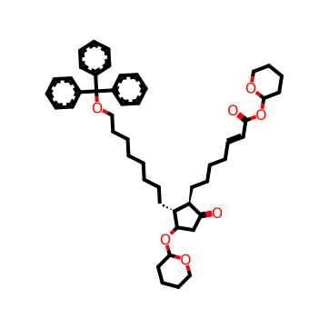 O=C(C=CCCCC[C@H]1C(=O)CC(OC2CCCCO2)[C@@H]1CCCCCCCCOC(c1ccccc1)(c1ccccc1)c1ccccc1)OC1CCCCO1